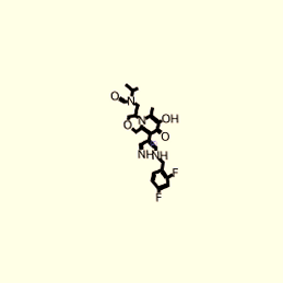 Cc1c(O)c(=O)c(/C(C=N)=C/NCc2ccc(F)cc2F)c2n1C(CN(C=O)C(C)C)COC2